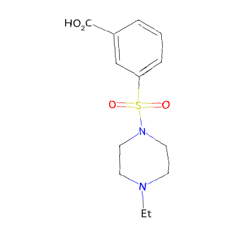 CCN1CCN(S(=O)(=O)c2cccc(C(=O)O)c2)CC1